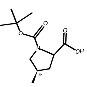 C[C@@H]1CC(C(=O)O)N(C(=O)OC(C)(C)C)C1